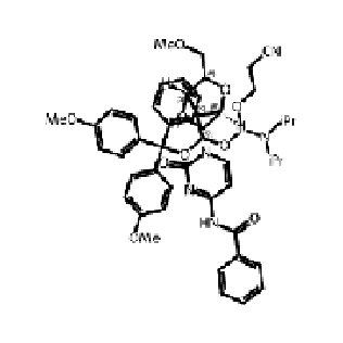 COC[C@H]1O[C@@H]2[C@@H](C(OP(OCCC#N)N(C(C)C)C(C)C)OC(c3ccccc3)(c3ccc(OC)cc3)c3ccc(OC)cc3)[C@@H]1O[C@H]2n1ccc(NC(=O)c2ccccc2)nc1=O